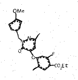 CCOC(=O)c1cc(C)c(Oc2cc(C)nn(Cc3ccc(OC)cc3)c2=O)cc1F